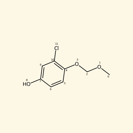 COCOc1ccc(O)cc1Cl